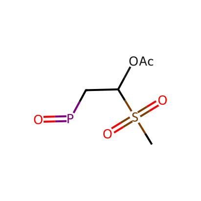 CC(=O)OC(CP=O)S(C)(=O)=O